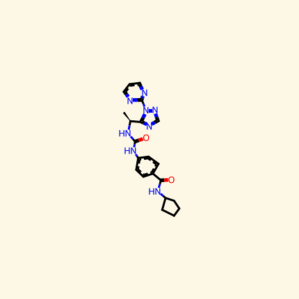 C[C@H](NC(=O)Nc1ccc(C(=O)NC2CCCC2)cc1)c1ncnn1-c1ncccn1